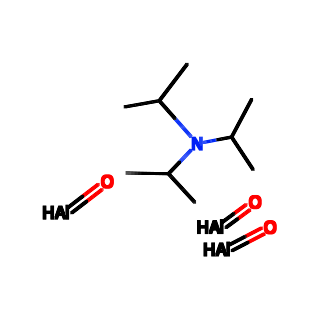 CC(C)N(C(C)C)C(C)C.[O]=[AlH].[O]=[AlH].[O]=[AlH]